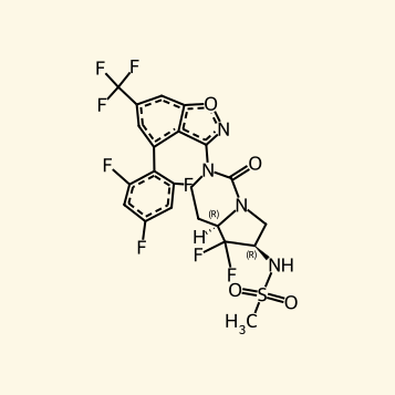 CS(=O)(=O)N[C@@H]1CN2C(=O)N(c3noc4cc(C(F)(F)F)cc(-c5c(F)cc(F)cc5F)c34)CC[C@@H]2C1(F)F